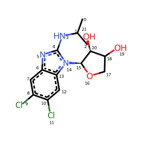 CC(C)Nc1nc2cc(Cl)c(Cl)cc2n1[C@@H]1OCC(O)[C@@H]1O